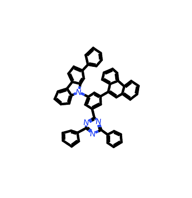 c1ccc(-c2ccc3c4ccccc4n(-c4cc(-c5nc(-c6ccccc6)nc(-c6ccccc6)n5)cc(-c5cc6ccccc6c6ccccc56)c4)c3c2)cc1